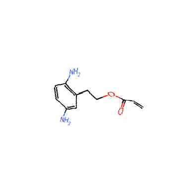 C=CC(=O)OCCc1cc(N)ccc1N